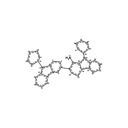 Nc1c(-c2ccc3c(c2)c2ccccc2n3-c2ccccc2)ccc2c3ccccc3n(-c3ccccc3)c12